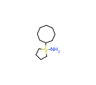 NS1(C2CCCCCCC2)CCCC1